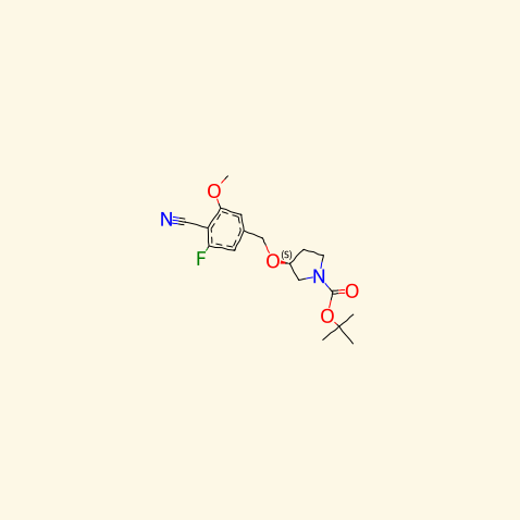 COc1cc(CO[C@H]2CCN(C(=O)OC(C)(C)C)C2)cc(F)c1C#N